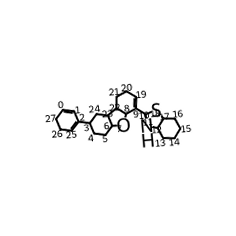 C1=CC(C2CCC3OC4C(C5NC6CCCCC6S5)=CCCC4C3C2)=CCC1